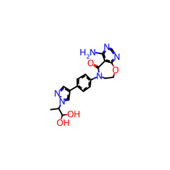 CC(C(O)O)n1cc(-c2ccc(N3CCOc4ncnc(N)c4C3=O)cc2)cn1